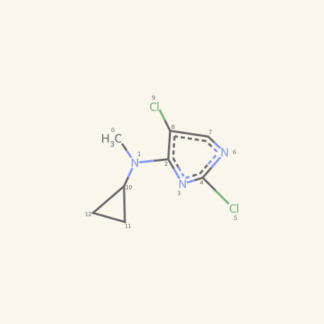 CN(c1nc(Cl)ncc1Cl)C1CC1